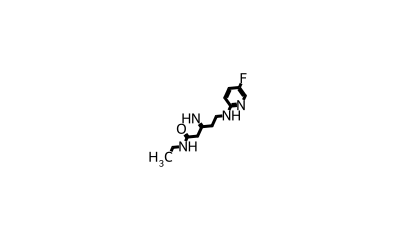 CCNC(=O)CC(=N)CCNc1ccc(F)cn1